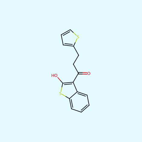 O=C(CCc1cccs1)c1c(O)sc2ccccc12